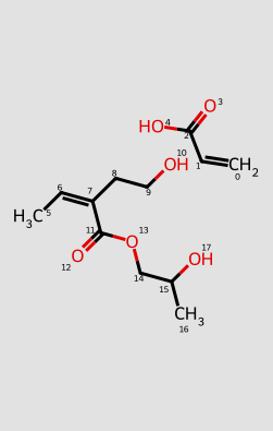 C=CC(=O)O.CC=C(CCO)C(=O)OCC(C)O